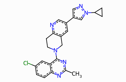 Cc1nc(N2CCc3ncc(-c4cnn(C5CC5)c4)cc3C2)c2cc(Cl)ccc2n1